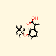 CC(C(=O)O)c1cccc(O[Si](C)(C)C(C)(C)C)c1